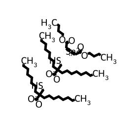 CCCCCCCCC(CS)(CCCCCCCC)C(=O)[O-].CCCCCCCCC(CS)(CCCCCCCC)C(=O)[O-].CCCCOC(=O)[CH]=[Sn+2]=[CH]C(=O)OCCCC